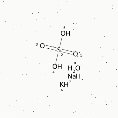 O.O=S(=O)(O)O.[KH].[NaH]